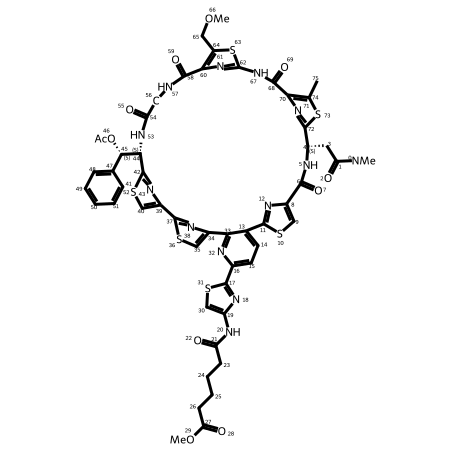 CNC(=O)C[C@@H]1NC(=O)c2csc(n2)-c2ccc(-c3nc(NC(=O)CCCCC(=O)OC)cs3)nc2-c2csc(n2)-c2csc(n2)[C@H]([C@@H](OC(C)=O)c2ccccc2)NC(=O)CNC(=O)c2nc(sc2COC)NC(=O)c2nc1sc2C